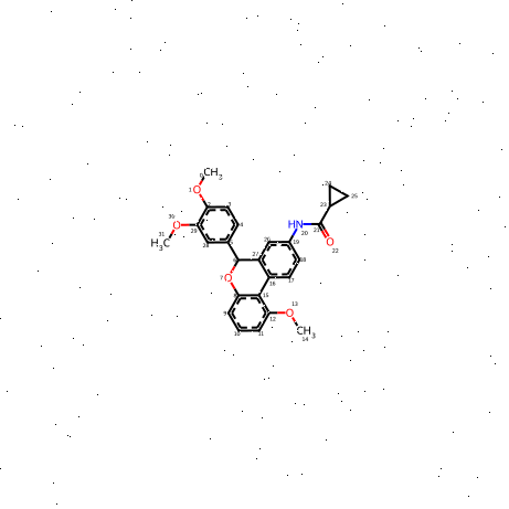 COc1ccc(C2Oc3cccc(OC)c3-c3ccc(NC(=O)C4CC4)cc32)cc1OC